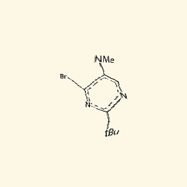 CNc1cnc(C(C)(C)C)nc1Br